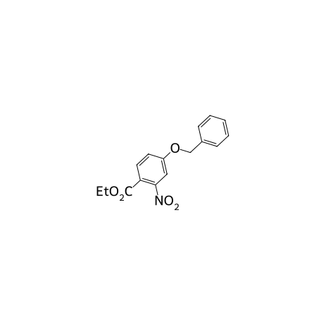 CCOC(=O)c1ccc(OCc2ccccc2)cc1[N+](=O)[O-]